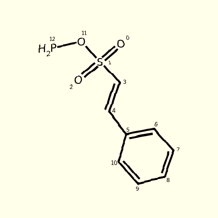 O=S(=O)(C=Cc1ccccc1)OP